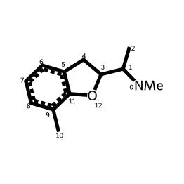 CNC(C)C1Cc2cccc(C)c2O1